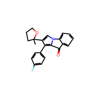 CC1(c2cn3c(c2-c2ccc(F)cc2)C(=O)c2ccccc2-3)CCCO1